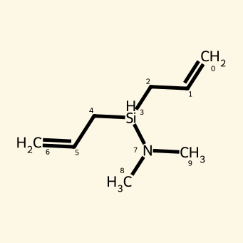 C=CC[SiH](CC=C)N(C)C